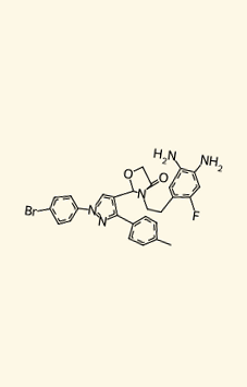 Cc1ccc(-c2nn(-c3ccc(Br)cc3)cc2C2OCC(=O)N2CCc2cc(N)c(N)cc2F)cc1